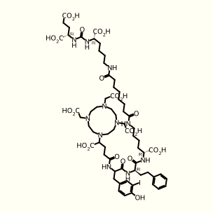 O=C(O)CC[C@H](NC(=O)N[C@@H](CCCCNC(=O)CCCCCCC(=O)NCCCC[C@@H](NC(=O)[C@@H](CCc1ccccc1)NC(=O)C(Cc1ccc(O)c(I)c1)NC(=O)CCC(C(=O)O)N1CCN(CC(=O)O)CCN(CC(=O)O)CCN(CC(=O)O)CC1)C(=O)O)C(=O)O)C(=O)O